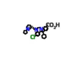 O=C(O)c1ccc2c(C3CCCCC3)c3n(c2c1)CCN(CC[C@H]1CCCN(C2CCCC2)C1)c1cc(Cl)ccc1-3